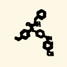 C=Cc1ccc(N(C(=O)NCc2ccccc2)[C@H]2CC[C@H](Nc3ccc(C#N)cn3)CC2)cc1